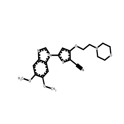 COc1cc2ncn(-c3cc(OCCN4CCOCC4)c(C#N)s3)c2cc1OC